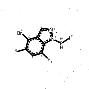 Cc1cc(F)c2c(cnn2PI)c1Br